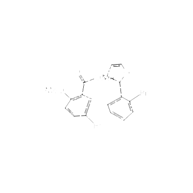 Brc1ccccc1C1O[C]=CO1.COC(=O)c1cc(Br)[c]cc1OC